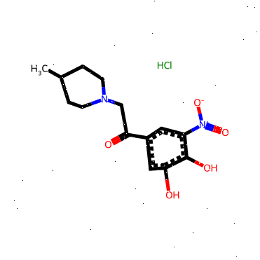 CC1CCN(CC(=O)c2cc(O)c(O)c([N+](=O)[O-])c2)CC1.Cl